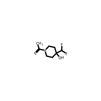 CC(=S)N1CCC(O)(C(F)F)CC1